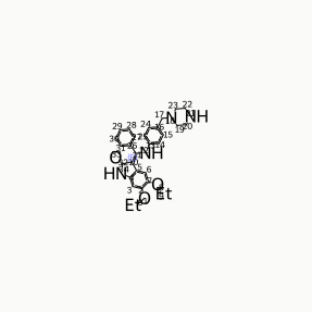 CCOc1cc2c(cc1OCC)/C(=C(\Nc1ccc(CN3CCNCC3)cc1)c1ccccc1)C(=O)N2